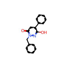 O=c1cc(-c2ccccc2)c(O)nn1Cc1ccccc1